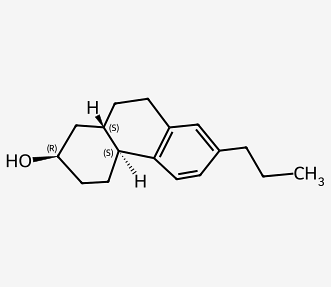 CCCc1ccc2c(c1)CC[C@H]1C[C@H](O)CC[C@H]21